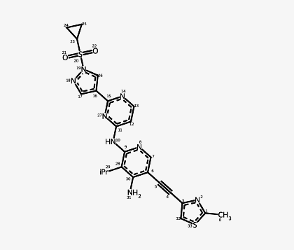 Cc1nc(C#Cc2cnc(Nc3ccnc(-c4cnn(S(=O)(=O)C5CC5)c4)n3)c(C(C)C)c2N)cs1